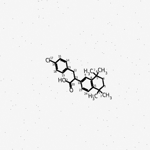 CC1(C)CCC(C)(C)c2cc(C(Cc3ccc(Cl)cc3)C(=O)O)ccc21